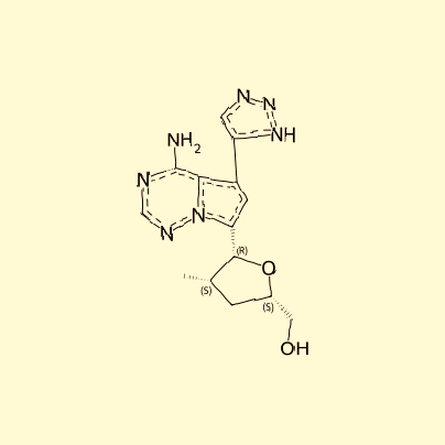 C[C@H]1C[C@@H](CO)O[C@H]1c1cc(-c2cnn[nH]2)c2c(N)ncnn12